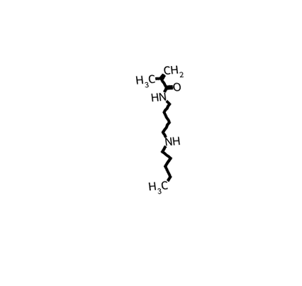 C=C(C)C(=O)NCCCCNCCCCC